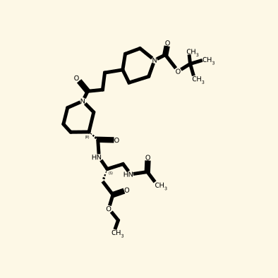 CCOC(=O)C[C@@H](CNC(C)=O)NC(=O)[C@@H]1CCCN(C(=O)CCC2CCN(C(=O)OC(C)(C)C)CC2)C1